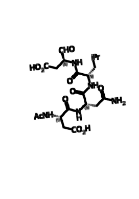 CC(=O)N[C@@H](CC(=O)O)C(=O)N[C@@H](CC(N)=O)C(=O)N[C@@H](CC(C)C)C(=O)N[C@H](C=O)CC(=O)O